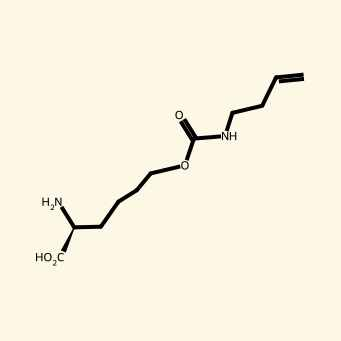 C=CCCNC(=O)OCCCC[C@H](N)C(=O)O